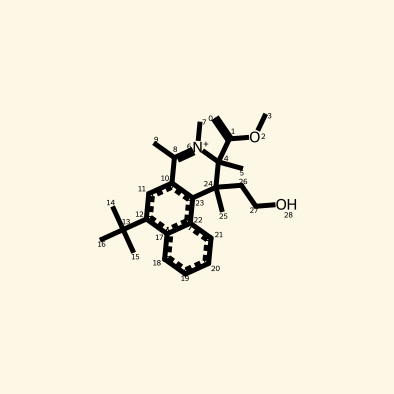 C=C(OC)C1(C)[N+](C)=C(C)c2cc(C(C)(C)C)c3ccccc3c2C1(C)CCO